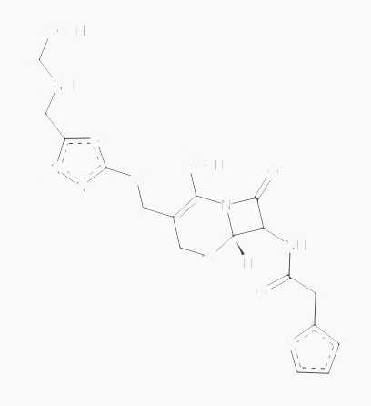 O=C(Cc1cccs1)NC1C(=O)N2C(C(=O)O)=C(CSc3nnc(CNCS(=O)(=O)O)s3)CS[C@@H]12